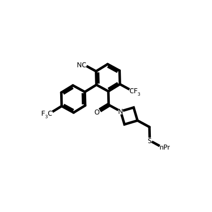 CCCSCC1CN(C(=O)c2c(C(F)(F)F)ccc(C#N)c2-c2ccc(C(F)(F)F)cc2)C1